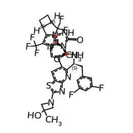 Cc1c(-c2cc3sc(N4CC(C)(O)C4)nc3nc2[C@H](Cc2cc(F)cc(F)c2)NC(=O)Cn2nc(C(F)(F)F)c3c2C(F)(F)[C@@H]2CC[C@H]32)ccc2n[nH]c(=O)n12